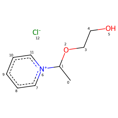 CC(OCCO)[n+]1ccccc1.[Cl-]